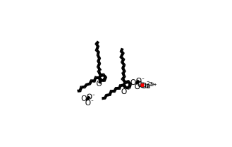 CCCCCCCCCCCCc1cccc([O-])c1CCCCCCCCC.CCCCCCCCCCCCc1cccc([O-])c1CCCCCCCCC.O=C([O-])[O-].O=C([O-])[O-].[Ca+2].[Ca+2].[Ca+2]